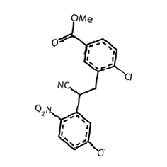 COC(=O)c1ccc(Cl)c(CC(C#N)c2cc(Cl)ccc2[N+](=O)[O-])c1